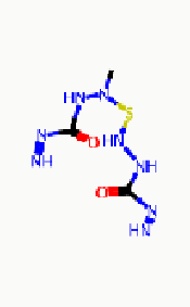 CN(NC(=O)N=N)SNNC(=O)N=N